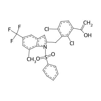 C=C(O)c1ccc(Cl)c(Cc2cc3cc(C(F)(F)F)cc(C)c3n2S(=O)(=O)c2ccccc2)c1Cl